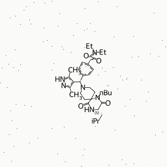 CCCCN1C(=O)[C@H](CC(C)C)NC(=O)C12CCN(C(c1ccc(S(=O)(=O)N(CC)CC)cc1)c1c(C)n[nH]c1C)CC2